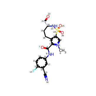 Cn1cc2c(c1C(=O)Nc1ccc(F)c(C#N)c1)CC[C@H](C=O)NS2(=O)=O